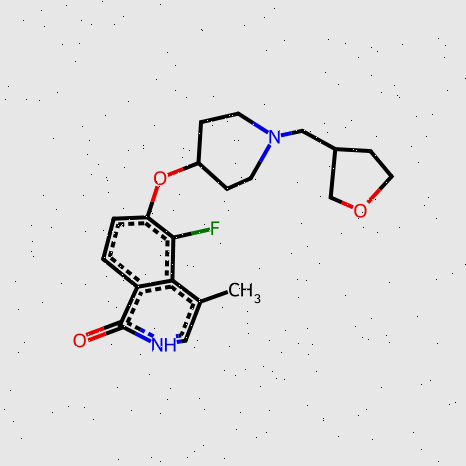 Cc1c[nH]c(=O)c2ccc(OC3CCN(CC4CCOC4)CC3)c(F)c12